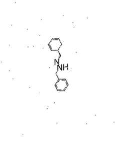 C1=CC[C@@H](/C=N/NCc2ccccc2)C=C1